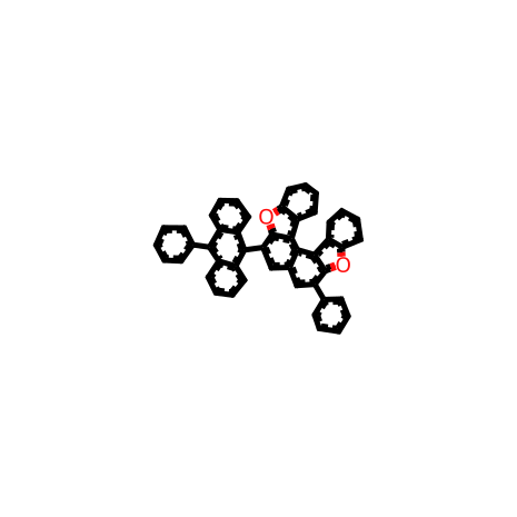 c1ccc(-c2c3ccccc3c(-c3cc4cc(-c5ccccc5)c5oc6ccccc6c5c4c4c3oc3ccccc34)c3ccccc23)cc1